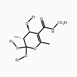 CCOC(=O)NC(=O)C1=C(C)OC(OCC)(OCC)[C@H](C)[C@H]1OCC